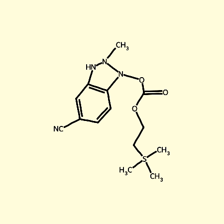 CN1Nc2cc(C#N)ccc2N1OC(=O)OCCS(C)(C)C